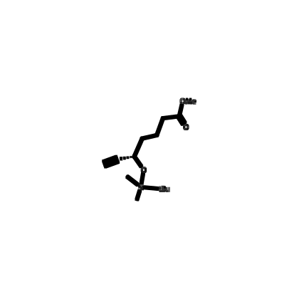 C#C[C@H](CCCC(=O)OC)O[Si](C)(C)C(C)(C)C